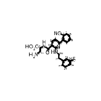 N#Cc1ccccc1-c1ccc(C(=O)N[C@H](CN)C(=O)O)c(NCCc2cccc(F)c2)n1